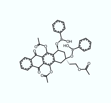 CC(=O)OCC[C@]1(OB(O)c2ccccc2)Cc2c(OC(C)=O)c3c(c(OC(C)=O)c2[C@@H](OB(O)c2ccccc2)C1)C(=O)c1ccccc1C3=O